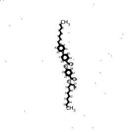 CCCCCCCCc1ccc(-c2ccc(C(=O)Oc3ccc(C(=O)OC(CF)CCCCCCCC)cc3)cc2)cc1